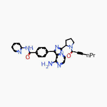 CCCC#CC(=O)N1CCCC1c1nc(-c2ccc(C(=O)Nc3ccccn3)cc2)c2c(N)nccn12